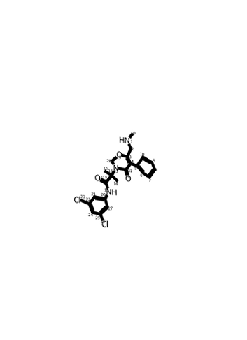 CNCC1=C(c2ccccc2)C(=O)N(C(C)(C)C(=O)Nc2cc(Cl)cc(Cl)c2)CO1